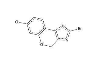 Clc1ccc2c(c1)OCc1nc(Br)sc1-2